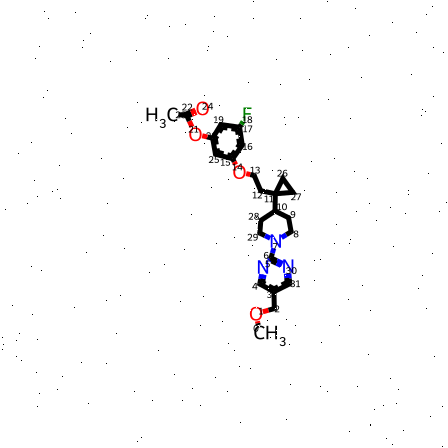 COCc1cnc(N2CCC(C3(CCOc4cc(F)cc(OC(C)=O)c4)CC3)CC2)nc1